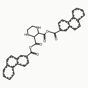 O=C(OC(=O)C1NCCNC1C(=O)OC(=O)c1ccc2c(ccc3ccccc32)c1)c1ccc2c(ccc3ccccc32)c1